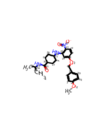 COc1ccc(COc2ccc([N+](=O)[O-])c(NC3CCC(C(=O)NC(C)C)CC3)c2)cc1